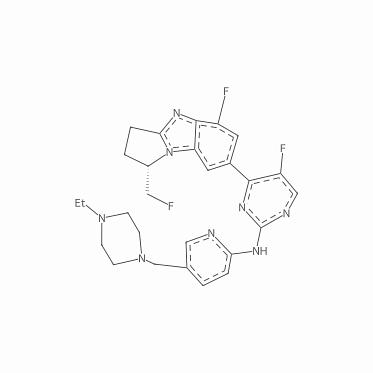 CCN1CCN(Cc2ccc(Nc3ncc(F)c(-c4cc(F)c5nc6n(c5c4)[C@H](CF)CC6)n3)nc2)CC1